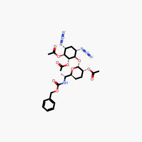 CC(=O)O[C@@H]1[C@@H](OC(C)=O)[C@H](N=[N+]=[N-])C[C@H](N=[N+]=[N-])[C@H]1O[C@H]1O[C@H]([C@@H](C)NC(=O)OCc2ccccc2)CC[C@H]1OC(C)=O